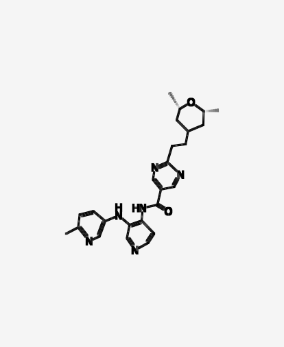 Cc1ccc(Nc2cnccc2NC(=O)c2cnc(CCC3C[C@@H](C)O[C@@H](C)C3)nc2)cn1